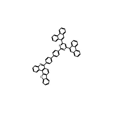 c1ccc2c(c1)cc(-c1cc(-c3cc4ccccc4c4ccccc34)nc(-c3ccc(-c4ccc(-c5nc6ccccc6c6c5ccc5c7ccccc7oc56)cc4)cc3)n1)c1ccccc12